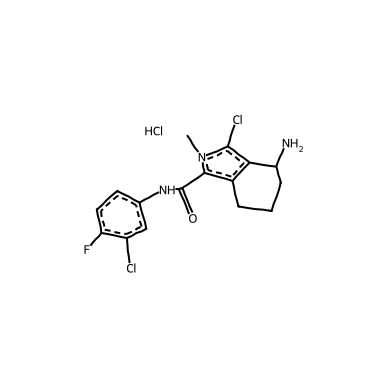 Cl.Cn1c(Cl)c2c(c1C(=O)Nc1ccc(F)c(Cl)c1)CCCC2N